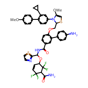 COC1=CSC(COc2ccc(C(=O)NC(OC3C=CC(F)(F)C(C(N)=O)C3(F)F)c3nccs3)cc2-c2ccc(N)cc2)N1c1ccc(-c2ccc(OC)cc2)c(C2CC2)c1